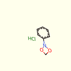 Cl.c1ccc(N2OCO2)cc1